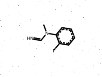 CN(C=N)c1ccccc1I